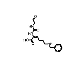 O=CCNC(=O)N/C(=C/CCCNCc1ccccc1)C(=O)O